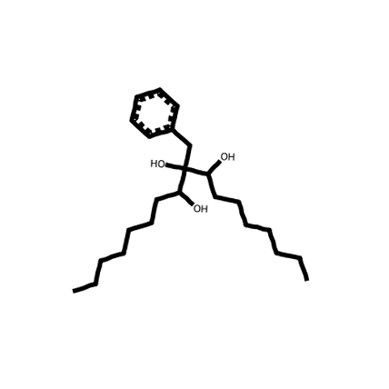 CCCCCCCC(O)C(O)(Cc1ccccc1)C(O)CCCCCCC